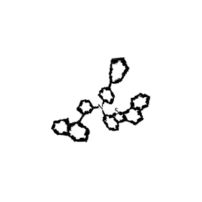 c1ccc(-c2ccc(N(c3cccc(-c4cccc5ccccc45)c3)c3cccc4c3sc3c5ccccc5ccc43)cc2)cc1